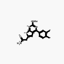 CNc1nc(-c2ccc(C)c(C)c2)c2cc(CC(N)=O)sc2n1